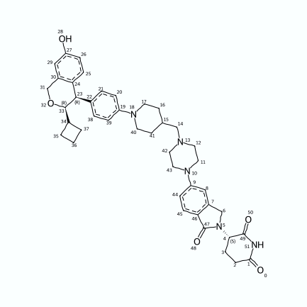 O=C1CC[C@H](N2Cc3cc(N4CCN(CC5CCN(c6ccc([C@@H]7c8ccc(O)cc8CO[C@@H]7C7CCC7)cc6)CC5)CC4)ccc3C2=O)C(=O)N1